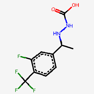 CC(NNC(=O)O)c1ccc(C(F)(F)F)c(F)c1